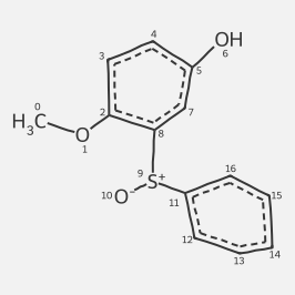 COc1ccc(O)cc1[S+]([O-])c1ccccc1